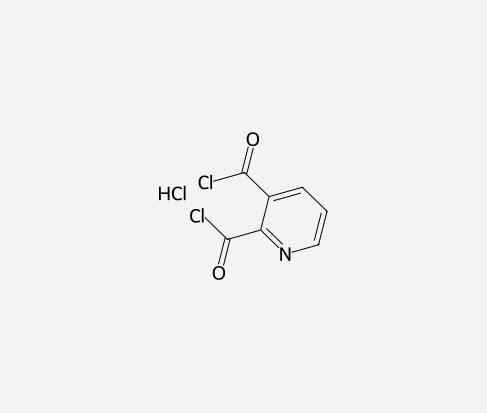 Cl.O=C(Cl)c1cccnc1C(=O)Cl